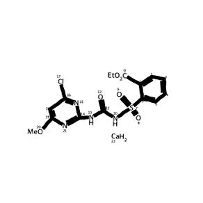 CCOC(=O)c1ccccc1S(=O)(=O)NC(=O)Nc1nc(Cl)cc(OC)n1.[CaH2]